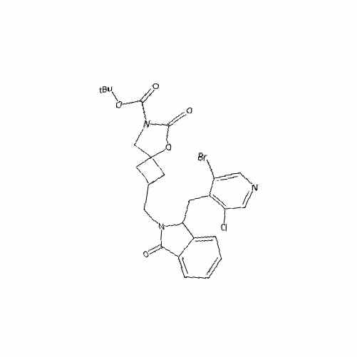 CC(C)(C)OC(=O)N1CC2(CC(CN3C(=O)c4ccccc4C3Cc3c(Cl)cncc3Br)C2)OC1=O